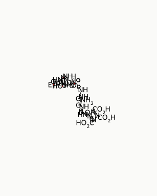 CCC(=O)NCCNC(=O)/N=C(/N)NCCC[C@@H](NC(=O)[C@H](c1ccccc1)c1ccc(NCCCNC(=O)[C@H](N)CCC(=O)NCCN(C)CCNC(=O)CN2CCN(CC(=O)O)CCN(CC(=O)O)CCN(CC(=O)O)CC2)cc1)C(=O)NCc1ccc(O)cc1